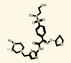 CCN(CCO)S(=O)(=O)c1ccc(/C(=N\O[C@@H]2CCOC2)C(=O)Nc2ncc(CN3CCN(C(C)=O)[C@@H](C)C3)s2)cc1